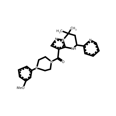 COc1cccc(N2CCN(C(=O)c3cnn4c3NC(c3ccccn3)CC4(C)C)CC2)c1